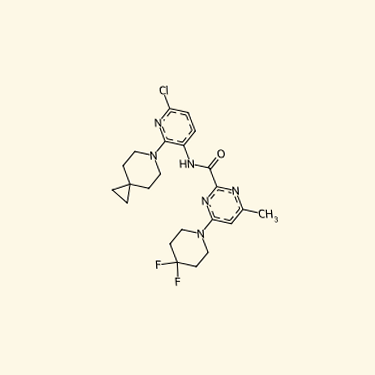 Cc1cc(N2CCC(F)(F)CC2)nc(C(=O)Nc2ccc(Cl)nc2N2CCC3(CC2)CC3)n1